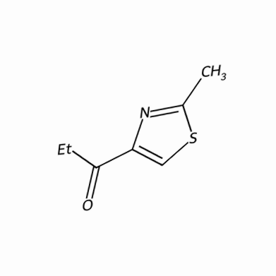 CCC(=O)c1csc(C)n1